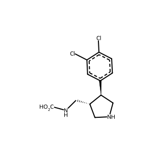 O=C(O)NC[C@H]1CNC[C@@H]1c1ccc(Cl)c(Cl)c1